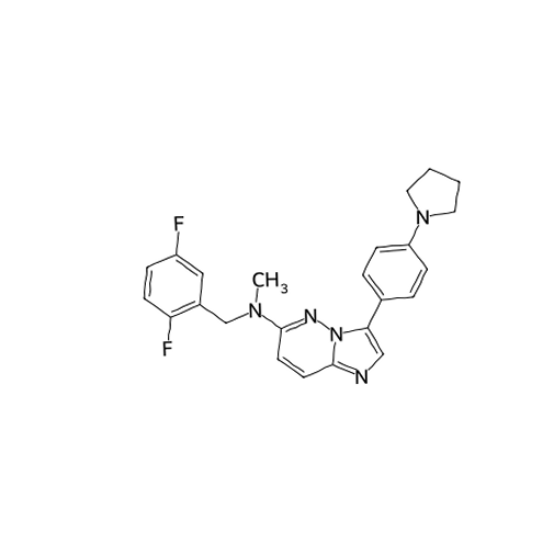 CN(Cc1cc(F)ccc1F)c1ccc2ncc(-c3ccc(N4CCCC4)cc3)n2n1